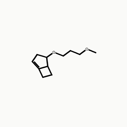 COCCCOC1CC=C2CCC21